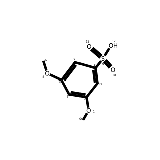 COc1cc(OC)cc(S(=O)(=O)O)c1